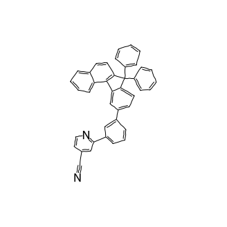 N#Cc1ccnc(-c2cccc(-c3ccc4c(c3)-c3c(ccc5ccccc35)C4(c3ccccc3)c3ccccc3)c2)c1